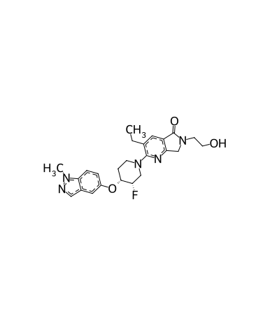 CCc1cc2c(nc1N1CC[C@@H](Oc3ccc4c(cnn4C)c3)[C@@H](F)C1)CN(CCO)C2=O